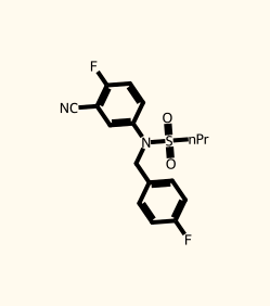 CCCS(=O)(=O)N(Cc1ccc(F)cc1)c1ccc(F)c(C#N)c1